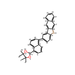 CC1(C)OB(c2cccc3c(-c4ccc5sc6cc7ccccc7cc6c5c4)cccc23)OC1(C)C